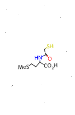 CSCCC(NC(=O)CS)C(=O)O